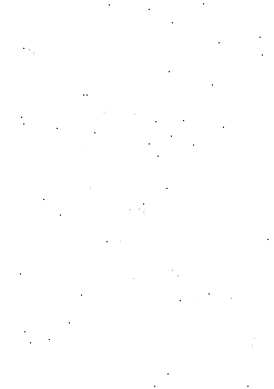 CC(CN)c1ccc(N2CCN(C(=O)OC(C)(C)C)CC2)cc1